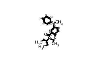 CCC(CC)n1c(C)nc2ccc(N(C)c3ccc(F)cc3)cc2c1=O